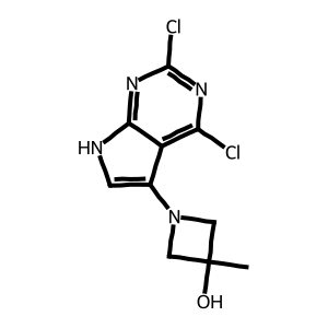 CC1(O)CN(c2c[nH]c3nc(Cl)nc(Cl)c23)C1